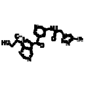 CC(C)c1cn(CC(=O)Nc2cncc(C(=O)c3cn([C@H](C)CO)c4ncncc34)c2)nn1